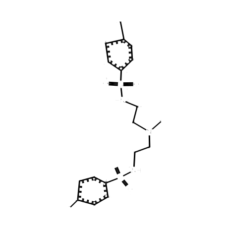 Cc1ccc(S(=O)(=O)NCCN(C)CCNS(=O)(=O)c2ccc(C)cc2)cc1